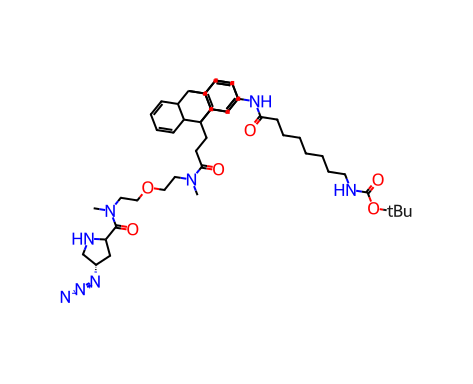 CN(CCOCCN(C)C(=O)C1C[C@H](N=[N+]=[N-])CN1)C(=O)CCC12c3cc(NC(=O)CCCCCCCNC(=O)OC(C)(C)C)ccc3C(C3C=CC=CC31)C1C=CC=CC12